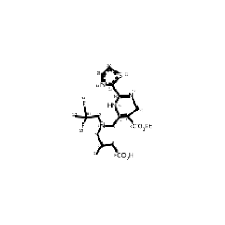 CCOC(=O)C1=C(CN(CC(C)CC(=O)O)CC(C)(F)F)NC(c2nccs2)=NC1